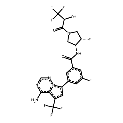 Nc1ncnn2c(-c3cc(F)cc(C(=O)N[C@@H]4CN(C(=O)C(O)C(F)(F)F)C[C@@H]4F)c3)cc(C(F)(F)F)c12